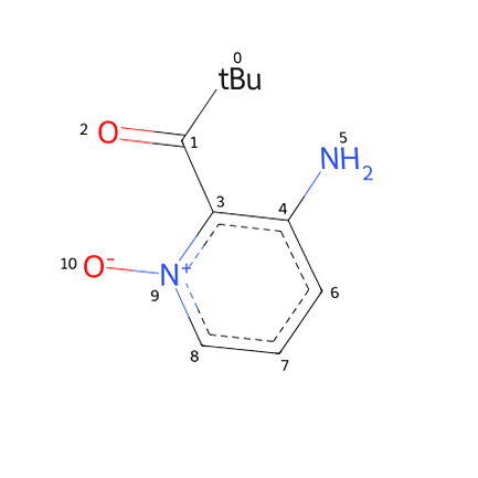 CC(C)(C)C(=O)c1c(N)ccc[n+]1[O-]